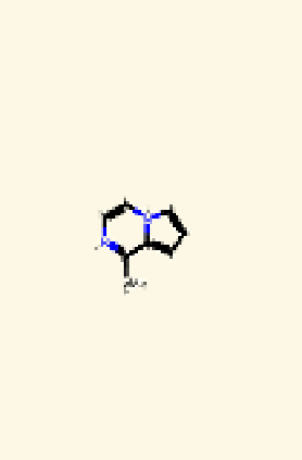 CSc1nccn2cccc12